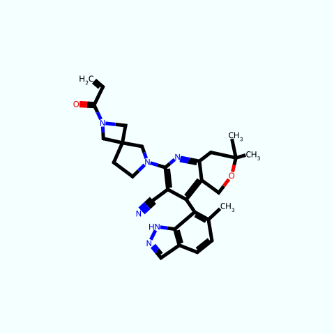 C=CC(=O)N1CC2(CCN(c3nc4c(c(-c5c(C)ccc6cn[nH]c56)c3C#N)COC(C)(C)C4)C2)C1